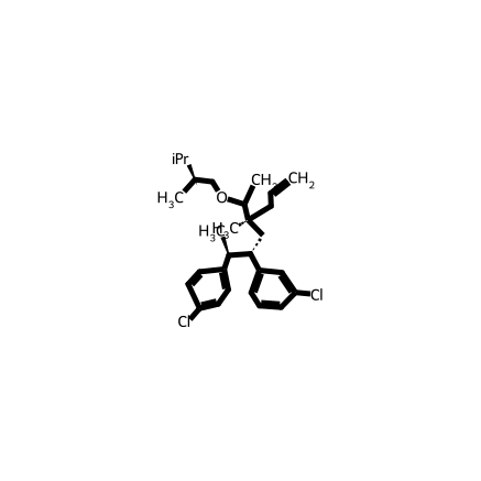 C=CC[C@@](C)(C[C@H](c1cccc(Cl)c1)[C@H](C)c1ccc(Cl)cc1)C(C)OC[C@@H](C)C(C)C